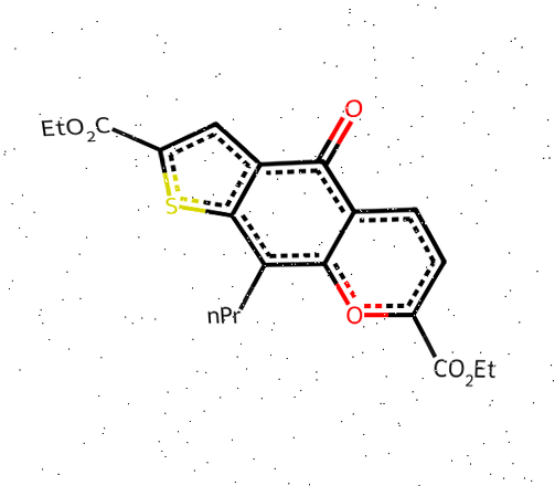 CCCc1c2oc(C(=O)OCC)ccc-2c(=O)c2cc(C(=O)OCC)sc12